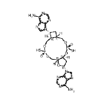 Nc1ncnc2c1ncn2[C@@H]1C[C@@H]2COP(=O)(S)O[C@H]3C[C@H](n4cnc5c(N)ncnc54)O[C@@H]3COP(=O)(S)OC[C@H]21